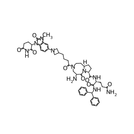 Cn1c(=O)n(C2CCC(=O)NC2=O)c2ccc(N3CC(CCCC(=O)N4CC[C@H]5CC[C@@H](C(=O)N[C@@H](CCC(N)=O)C(=O)NC(c6ccccc6)c6ccccc6)N5C(=O)[C@@H](N)C4)C3)cc21